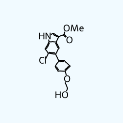 COC(=O)c1c[nH]c2cc(Cl)c(-c3ccc(OCCO)cc3)cc12